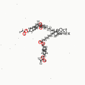 C=CC(=O)OCC1CC2C3CC(CC(C)(CCCC)OC(=O)CCCCCCCC4C(CCCCCCCC(=O)OCC5CC6CC5C5CC(COC(=O)C(=C)C)CC65)CCC(CCCCCC)C4CCCCCCCC)C(C3)C2C1